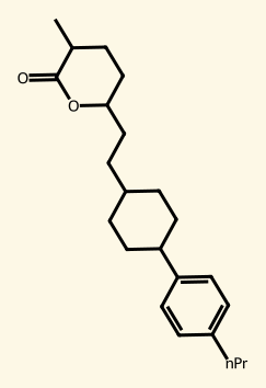 CCCc1ccc(C2CCC(CCC3CCC(C)C(=O)O3)CC2)cc1